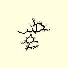 CCCC(c1nc2cc(Br)ccc2c(=O)n1C)N1CC(C)N(C(=O)O)C(C)C1